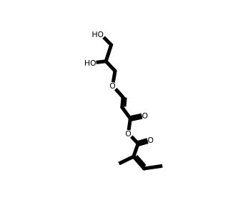 CC=C(C)C(=O)OC(=O)C=COCC(O)CO